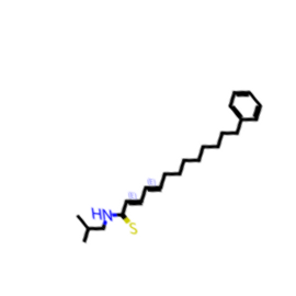 CC(C)CNC(=S)/C=C/C=C/CCCCCCCCc1ccccc1